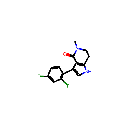 CN1CCc2[nH]cc(-c3ccc(F)cc3F)c2C1=O